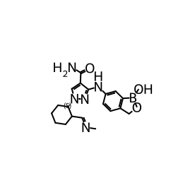 CN=CC1CCCC[C@@H]1n1cc(C(N)=O)c(Nc2ccc3c(c2)B(O)OC3)n1